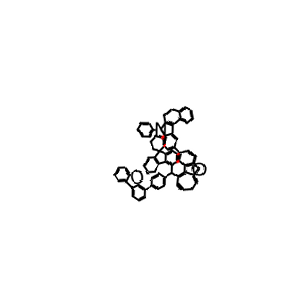 C1#CC(C(c2ccc(-c3cccc4c3oc3ccccc34)cc2)c2cccc3c2C2=C(C=CCC2)C32CCCCC2)=c2c(oc3ccc(-c4ccc5c(c4)c4c6ccccc6ccc4n5-c4ccccc4)cc23)=CC1